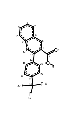 COC(=O)c1cc2ccccc2nc1-c1ccc(C(F)(F)F)cc1